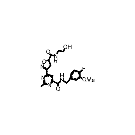 COc1cc(CNC(=O)c2cc(C3=NOC(C(=O)NCCO)C3)nc(C)n2)ccc1F